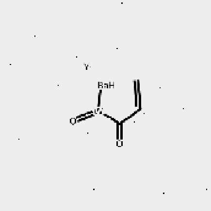 C=C[C](=O)[W](=[O])[BaH].[Y]